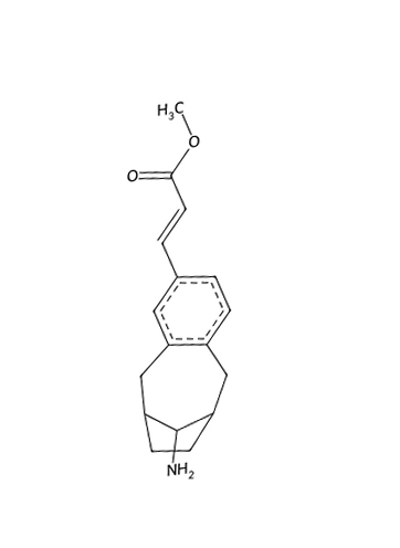 COC(=O)C=Cc1ccc2c(c1)CC1CCC(C2)C1N